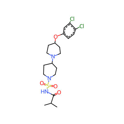 CC(C)C(=O)NS(=O)(=O)N1CCC(N2CCC(Oc3ccc(Cl)c(Cl)c3)CC2)CC1